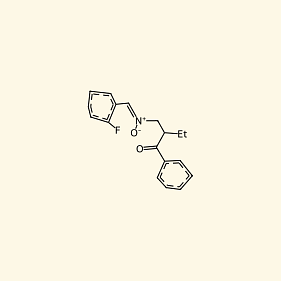 CCC(C[N+]([O-])=Cc1ccccc1F)C(=O)c1ccccc1